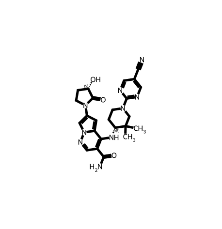 CC1(C)CN(c2ncc(C#N)cn2)CC[C@H]1Nc1c(C(N)=O)cnn2cc(N3CC[C@H](O)C3=O)cc12